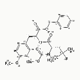 CN(C(=O)OC(C)(C)C)[C@@H](CC(C)(C)F)C(=O)O[C@@H](Cc1ccc(OC(F)(F)F)cc1)C(=O)OCc1ccccc1